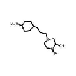 COC1CCC(CCCN2CCN(C(C)C)C(C)C2)CC1